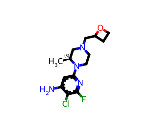 C[C@H]1CN(CC2CCO2)CCN1c1cc(N)c(Cl)c(F)n1